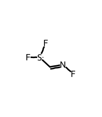 FN=C[S](F)F